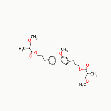 C=C(COC)C(=O)OCCCc1ccc(-c2ccc(CCCOC(=O)C(=C)COC)cc2OC)cc1